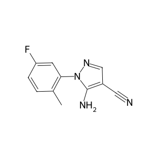 Cc1ccc(F)cc1-n1ncc(C#N)c1N